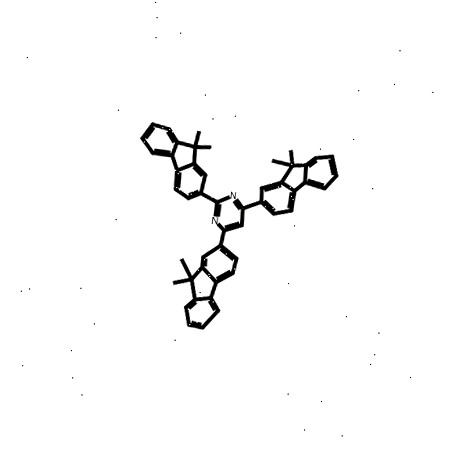 CC1(C)c2ccccc2-c2ccc(-c3cc(-c4ccc5c(c4)C(C)(C)c4ccccc4-5)nc(-c4ccc5c(c4)C(C)(C)c4ccccc4-5)n3)cc21